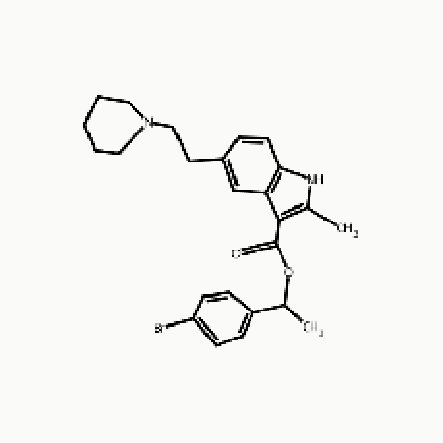 Cc1[nH]c2ccc(CCN3CCCCC3)cc2c1C(=O)OC(C)c1ccc(Br)cc1